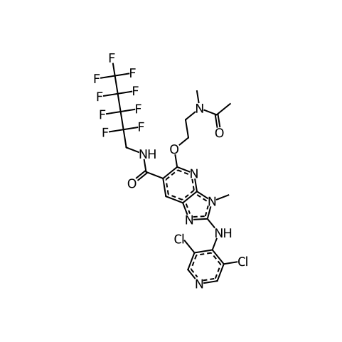 CC(=O)N(C)CCOc1nc2c(cc1C(=O)NCC(F)(F)C(F)(F)C(F)(F)C(F)(F)F)nc(Nc1c(Cl)cncc1Cl)n2C